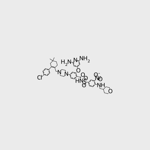 CC1(C)CCC(CN2CCN(c3ccc(C(=O)NS(=O)(=O)c4ccc(NCC5CCOCC5)c([N+](=O)[O-])c4)c(Oc4cc(N)nc(N)c4)c3)CC2)=C(c2ccc(Cl)cc2)C1